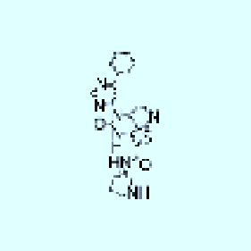 O=C(N[C@@H]1CCCNC1)c1sc2nccc3c2c1NC(=O)N3c1cc(-c2ccccc2)ncn1